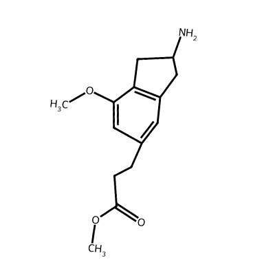 COC(=O)CCc1cc2c(c(OC)c1)CC(N)C2